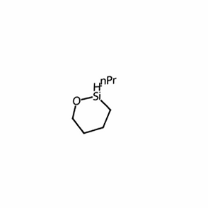 CCC[SiH]1CCCCO1